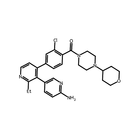 CCc1nccc(-c2ccc(C(=O)N3CCN(C4CCOCC4)CC3)c(Cl)c2)c1-c1ccc(N)nc1